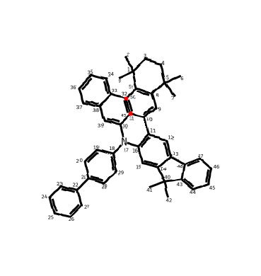 CC1(C)CCC(C)(C)c2cc(-c3cc4c(cc3N(c3ccc(-c5ccccc5)cc3)c3ccc5ccccc5c3)C(C)(C)c3ccccc3-4)ccc21